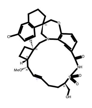 CO[C@H]1/C=C/CC[C@H](CO)S(=O)(=O)NC(=O)c2ccc3c(c2)N(C[C@@H]2CC[C@H]21)C[C@@]1(CCCc2cc(Cl)ccc21)CO3